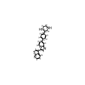 c1cnc2scc(-c3cnc4cc(-c5ccc(C6CNCCN6)cc5)ccn34)c2c1